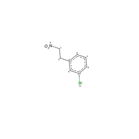 O=[N+]([O-])C[CH]c1cccc(Br)c1